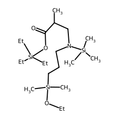 CCO[Si](C)(C)CCCN(CC(C)C(=O)O[Si](CC)(CC)CC)[Si](C)(C)C